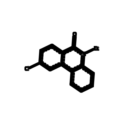 CCn1c(=O)c2ccc(Cl)cc2c2ccccc21